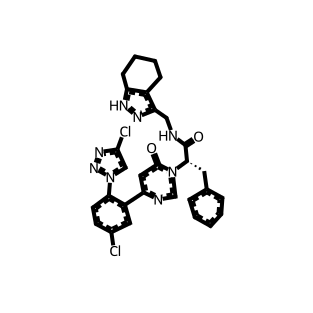 O=C(NCc1n[nH]c2c1CCCC2)[C@H](Cc1ccccc1)n1cnc(-c2cc(Cl)ccc2-n2cc(Cl)nn2)cc1=O